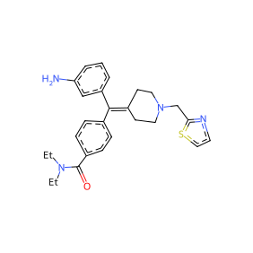 CCN(CC)C(=O)c1ccc(C(=C2CCN(Cc3nccs3)CC2)c2cccc(N)c2)cc1